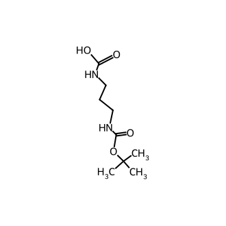 CC(C)(C)OC(=O)NCCCNC(=O)O